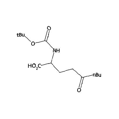 CCCCC(=O)CCC(NC(=O)OC(C)(C)C)C(=O)O